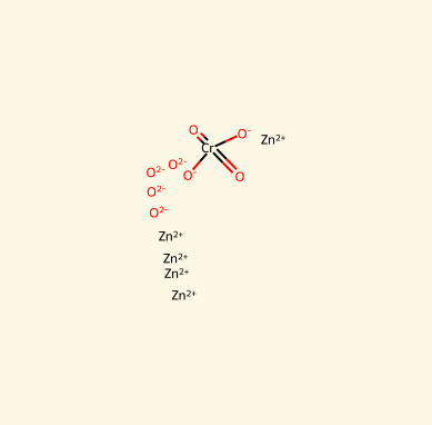 [O-2].[O-2].[O-2].[O-2].[O]=[Cr](=[O])([O-])[O-].[Zn+2].[Zn+2].[Zn+2].[Zn+2].[Zn+2]